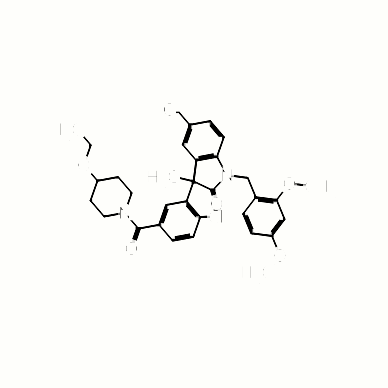 CCOC1CCN(C(=O)c2ccc(Cl)c(C3(C)C(=O)N(Cc4ccc(OC)cc4OC)c4ccc(Cl)cc43)c2)CC1